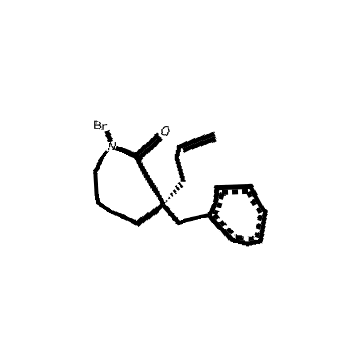 C=CC[C@]1(Cc2ccccc2)CCCN(Br)C1=O